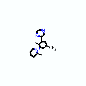 Cc1c(-c2cnccn2)cc(C(F)(F)F)cc1-[n+]1ccccc1C